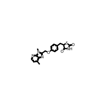 Cc1ccnc2c1nc(COc1ccc(CC3SC(=O)NC3=O)cc1)n2C